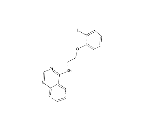 Fc1ccccc1OCCNc1ncnc2ccccc12